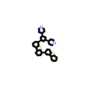 c1ccc2c(c1)sc1ccc(-c3cccc4c3sc3c(-c5cc(-c6ccncc6)cc(-c6ccncc6)c5)cccc34)cc12